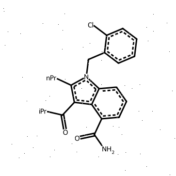 CCCc1c(C(=O)C(C)C)c2c(C(N)=O)cccc2n1Cc1ccccc1Cl